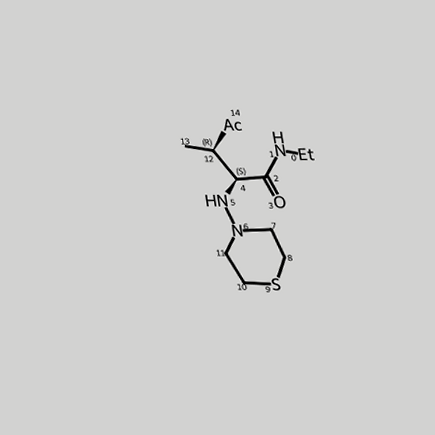 CCNC(=O)[C@@H](NN1CCSCC1)[C@@H](C)C(C)=O